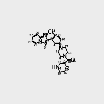 Cc1c(-c2cc(N3CCN(C(=O)C4CNCCO4)CC3)ccc2Cl)nc2ccccn12